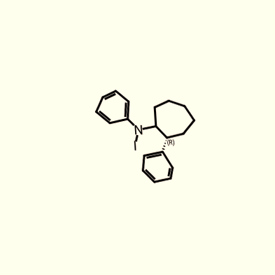 IN(c1ccccc1)C1CCCCC[C@@H]1c1ccccc1